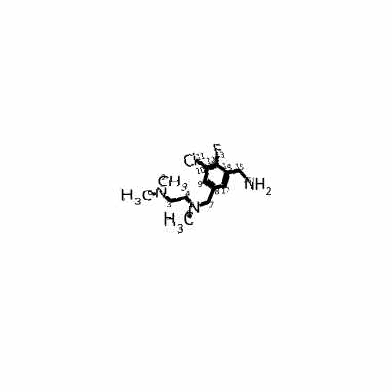 CN(C)CCN(C)Cc1cc(Cl)c(F)c(CN)c1